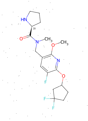 COc1nc(OC2CCC(F)(F)C2)c(F)cc1CN(C)C(=O)[C@@H]1CCCN1